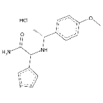 COc1ccc([C@@H](C)NC(C(N)=O)c2ccsc2)cc1.Cl